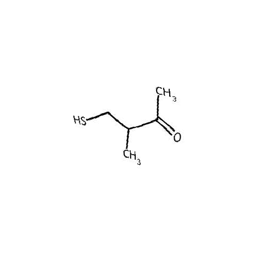 CC(=O)C(C)CS